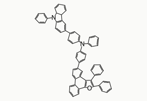 C1=CC2c3cc(-c4ccc(N(c5ccccc5)c5ccc(-c6ccc7c8ccccc8c8oc(-c9ccccc9)c(-c9ccccc9)c8c7c6)cc5)cc4)ccc3N(c3ccccc3)C2C=C1